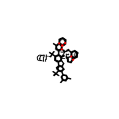 Cc1cc(C)cc(-c2cc3c(cc2C(C)(C)C)-c2cc(C(C)(C)C)c(-c4cc(C)cc(C)c4)[c]([Zr+2]([C]4=CC=CC4)=[C](Cc4ccccc4)Cc4ccccc4)c2C3)c1.[Cl-].[Cl-]